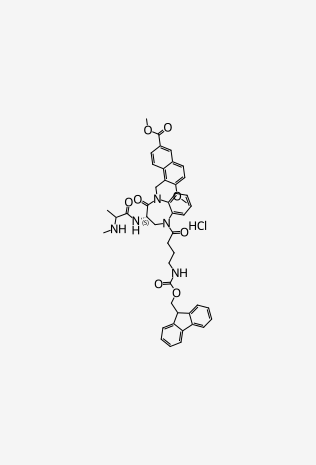 CNC(C)C(=O)N[C@H]1CN(C(=O)CCCNC(=O)OCC2c3ccccc3-c3ccccc32)c2ccccc2N(Cc2c(OC)ccc3cc(C(=O)OC)ccc23)C1=O.Cl